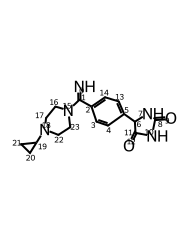 N=C(c1ccc(C2NC(=O)NC2=O)cc1)N1CCN(C2CC2)CC1